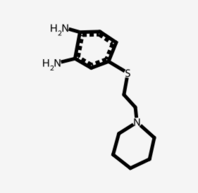 Nc1ccc(SCCN2CCCCC2)cc1N